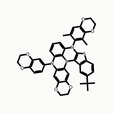 Cc1cc2c(c(C)c1N1c3cccc4c3B(c3cc5c(cc3N4c3ccc4c(c3)OCCO4)OCCO5)c3c1sc1ccc(C(C)(C)C)cc31)OCCO2